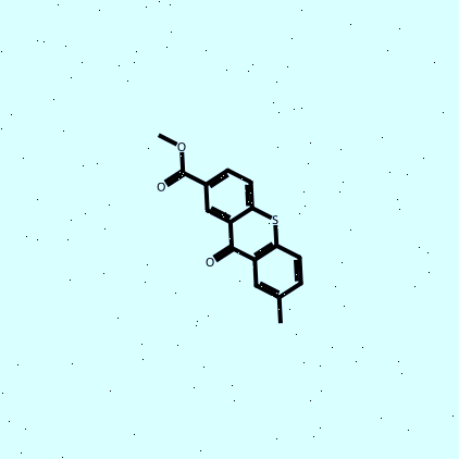 COC(=O)c1ccc2sc3ccc(C)cc3c(=O)c2c1